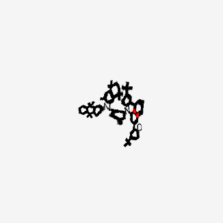 Cc1cc(N(c2ccc3c(c2)C(C)(C)c2ccccc2C3(C)C)c2cc3c(cc2C)C(C)(C)CCC3(C)C)cc(N(c2ccc3oc4ccc(C(C)(C)C)cc4c3c2)c2ccc(C(C)(C)C)cc2-c2ccccc2)c1